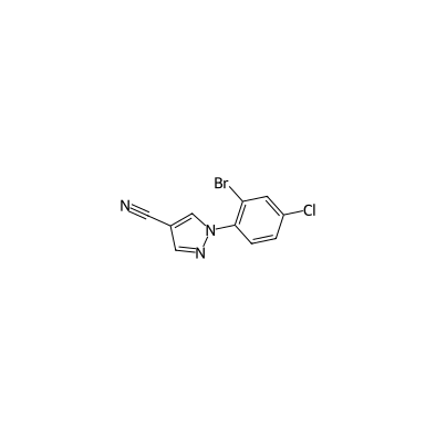 N#Cc1cnn(-c2ccc(Cl)cc2Br)c1